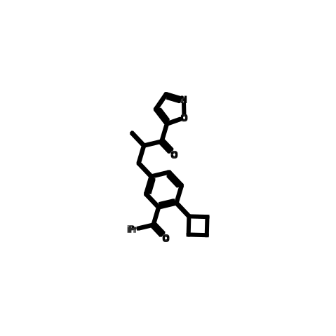 CC(C)C(=O)c1cc(CC(C)C(=O)c2ccno2)ccc1C1CCC1